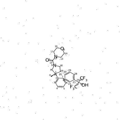 C[C@@]1(c2ccccc2)CN(C(=O)N2CCOCC2)C[C@@H]1c1ccc(C(O)(C(F)(F)F)C(F)(F)F)cc1